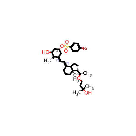 C=C1/C(=C/C=C2\CCC[C@@]3(C)C2CC[C@@H]3[C@H](C)OCCC(C)(C)O)C[C@@H](OS(=O)(=O)c2ccc(Br)cc2)C[C@@H]1O